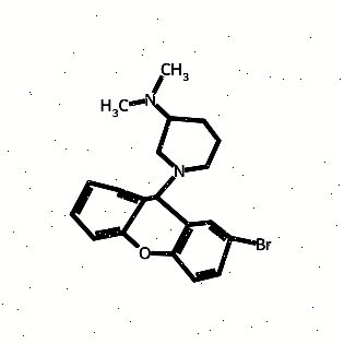 CN(C)C1CCCN(C2c3ccccc3Oc3ccc(Br)cc32)C1